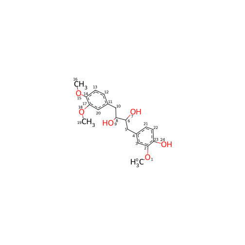 COc1cc(CC(O)C(O)Cc2ccc(OC)c(OC)c2)ccc1O